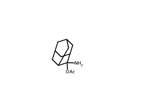 CC(=O)OC1(N)C2CC3CC(C2)CC1C3